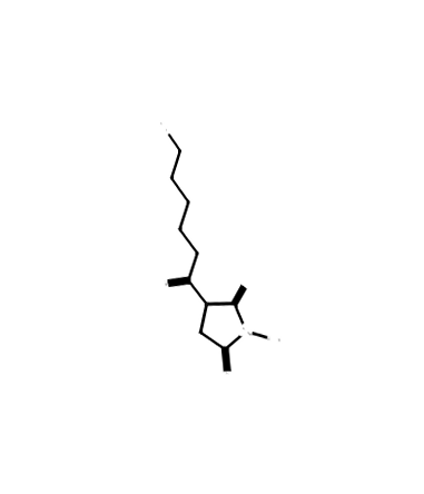 NCCCCCC(=O)C1CC(=O)N(O)C1=O